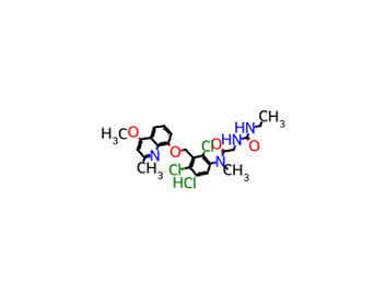 CCNC(=O)NCC(=O)N(C)c1ccc(Cl)c(COc2cccc3c(OC)cc(C)nc23)c1Cl.Cl